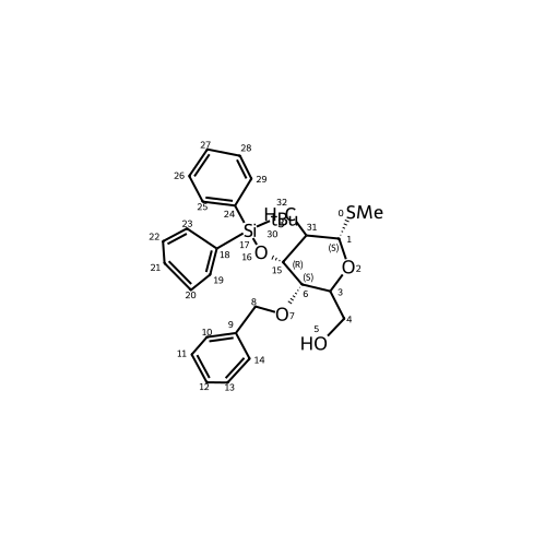 CS[C@@H]1OC(CO)[C@H](OCc2ccccc2)[C@H](O[Si](c2ccccc2)(c2ccccc2)C(C)(C)C)C1C